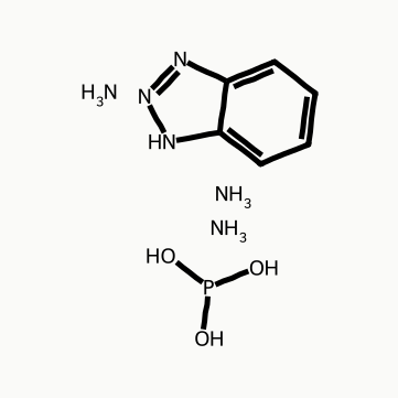 N.N.N.OP(O)O.c1ccc2[nH]nnc2c1